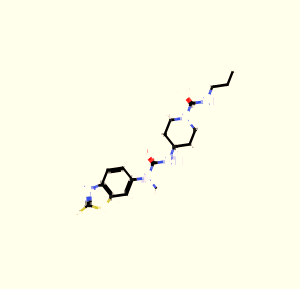 CCCNC(=O)N1CCC(NC(=O)N(C)c2ccc3nc(S)sc3c2)CC1